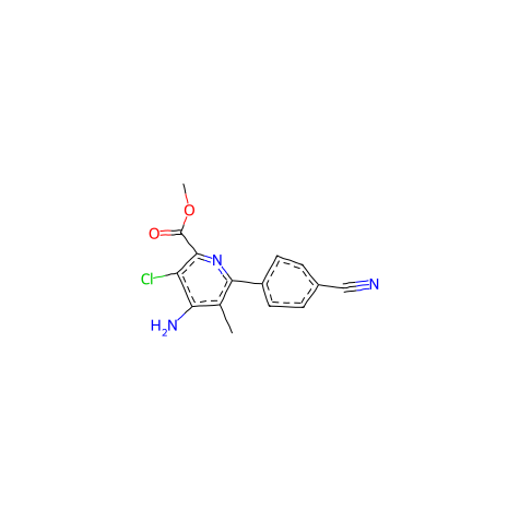 COC(=O)c1nc(-c2ccc(C#N)cc2)c(C)c(N)c1Cl